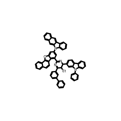 CCC1C(c2cccc(-c3ccccc3)c2)=NC(c2cc(-n3c4ccccc4c4cc5ccccc5cc43)cc3oc4c5ccccc5ccc4c23)=NC1c1ccc2c3ccccc3n(-c3ccccc3)c2c1